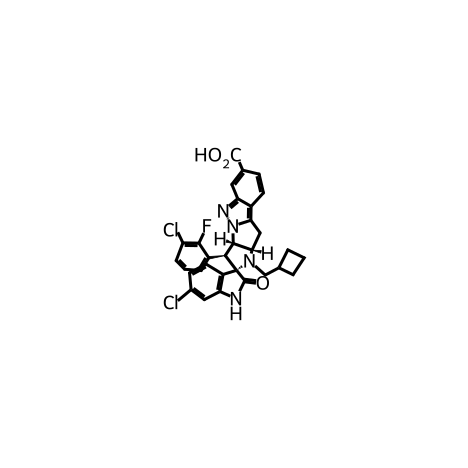 O=C(O)c1ccc2c3n(nc2c1)[C@@H]1[C@H](C3)N(CC2CCC2)[C@@]2(C(=O)Nc3cc(Cl)ccc32)[C@H]1c1cccc(Cl)c1F